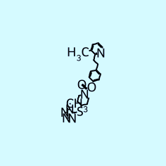 Cc1cccnc1CCc1ccc(OC(=O)N2CCC(Sc3nnnn3C)CC2)cc1